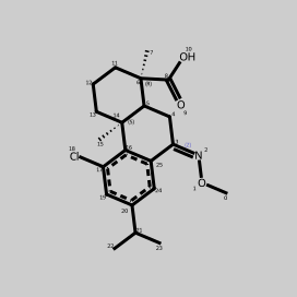 CO/N=C1/CC2[C@](C)(C(=O)O)CCC[C@]2(C)c2c(Cl)cc(C(C)C)cc21